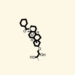 C[C@H](O)[C@@H](O)CO[C@H]1CCC2(C)C(CC[C@@H]3[C@@H]2CC[C@@]2(C)[C@H]3CCCN2C(=O)C2CCCCC2)C1